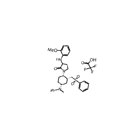 COc1ccccc1NC1CCN([C@H]2CC[C@@H](N(C)C(C)C)C[C@H]2CS(=O)(=O)c2ccccc2)C1=O.O=C(O)C(F)(F)F